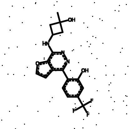 CC1(O)CC(Nc2nnc(-c3ccc(C(F)(F)F)cc3O)c3ccoc23)C1